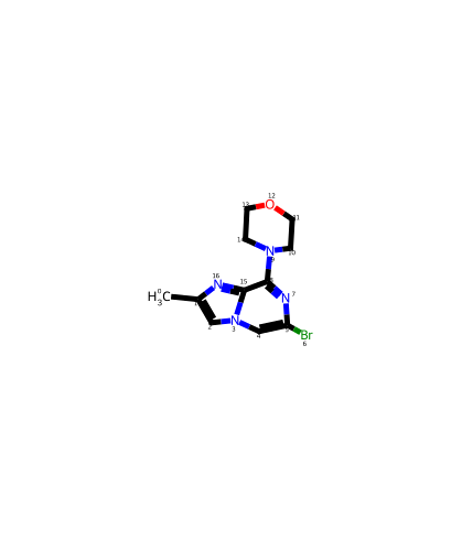 Cc1cn2cc(Br)nc(N3CCOCC3)c2n1